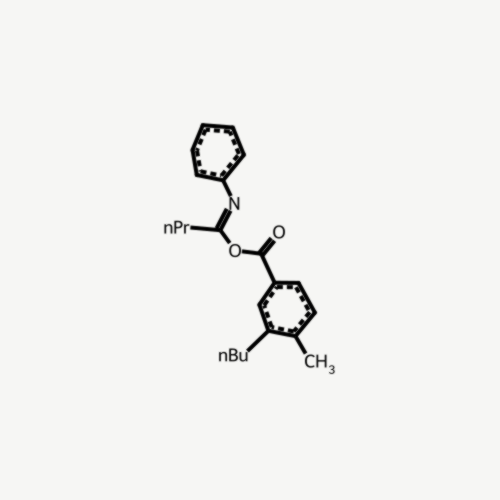 CCCCc1cc(C(=O)OC(CCC)=Nc2ccccc2)ccc1C